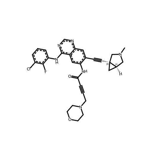 CN1C[C@H]2C[C@@]2(C#Cc2cc3ncnc(Nc4cccc(Cl)c4F)c3cc2NC(=O)C#CCN2CCOCC2)C1